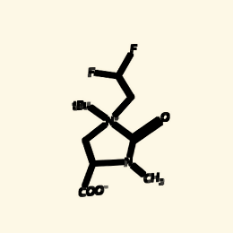 CN1C(=O)[N+](CC(F)F)(C(C)(C)C)CC1C(=O)[O-]